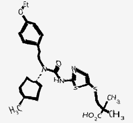 CCOc1ccc(CCN(C(=O)Nc2ncc(SCC(C)(C)C(=O)O)s2)[C@H]2CC[C@H](C)CC2)cc1